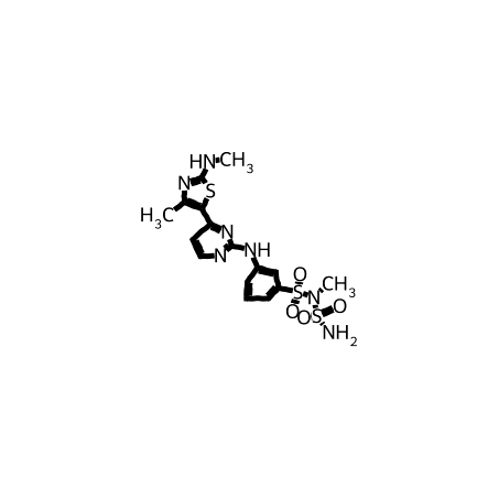 CNc1nc(C)c(-c2ccnc(Nc3cccc(S(=O)(=O)N(C)S(N)(=O)=O)c3)n2)s1